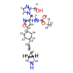 C[C@H](O)c1nccn1[C@H](CNC(=O)OC(C)(C)C)c1cc(-c2ccc(C#C[C@@H]3[C@H]4CNC[C@@H]34)cc2)on1